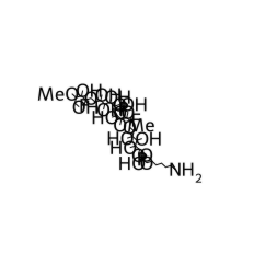 COC(CO)C(O)C(F)OCC(O)C(O)C(O)COP(=O)(O)OC(C(F)OCC(O)C(O)C(O)COP(=O)(O)OCCCCCN)C(CO)OC